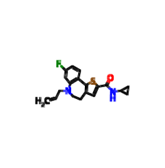 C=CCN1CCc2cc(C(=O)NC3CC3)sc2-c2ccc(F)cc21